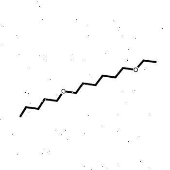 CCCCCOCCCCCCOCC